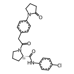 O=C(Nc1ccc(Cl)cc1)[C@@H]1CCCN1C(=O)Cc1ccc(N2CCCC2=O)cc1